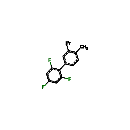 Cc1ccc(-c2c(F)cc(F)cc2F)cc1C(C)C